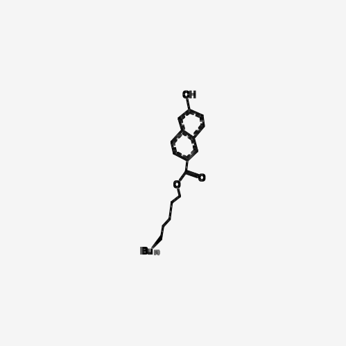 CC[C@H](C)CCCCCOC(=O)c1ccc2cc(O)ccc2c1